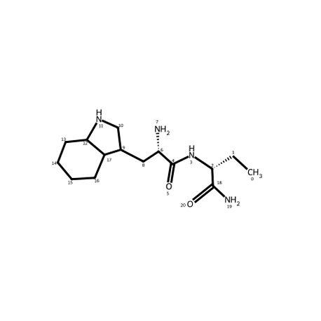 CC[C@@H](NC(=O)[C@@H](N)CC1CNC2CCCCC12)C(N)=O